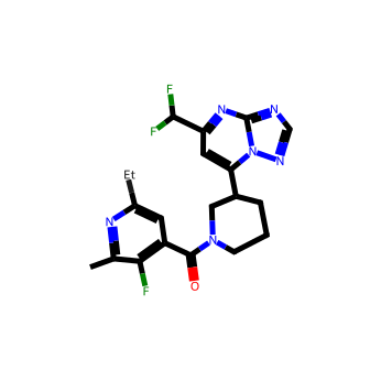 CCc1cc(C(=O)N2CCCC(c3cc(C(F)F)nc4ncnn34)C2)c(F)c(C)n1